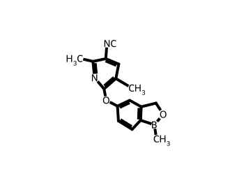 [C-]#[N+]c1cc(C)c(Oc2ccc3c(c2)COB3C)nc1C